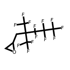 FC(F)(F)C(F)(F)C(F)(F)C(CC1CO1)(C(F)(F)F)C(F)(F)F